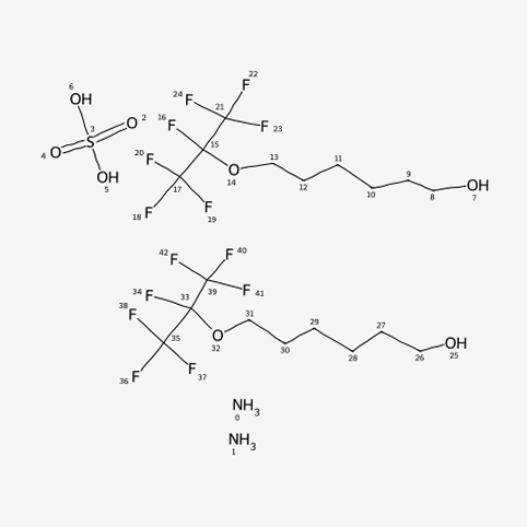 N.N.O=S(=O)(O)O.OCCCCCCOC(F)(C(F)(F)F)C(F)(F)F.OCCCCCCOC(F)(C(F)(F)F)C(F)(F)F